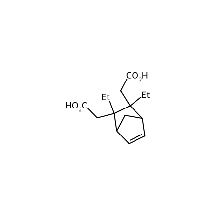 CCC1(CC(=O)O)C2C=CC(C2)C1(CC)CC(=O)O